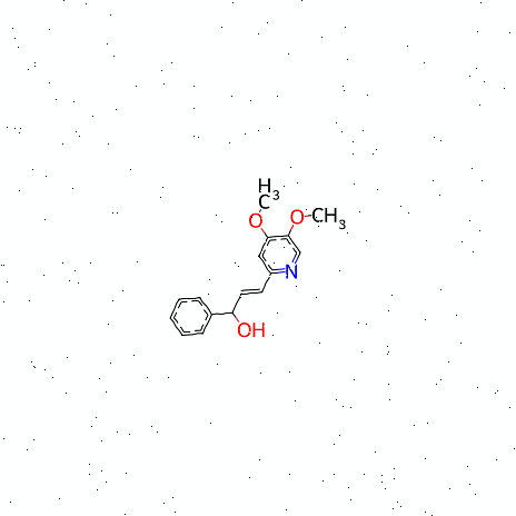 COc1cnc(C=CC(O)c2ccccc2)cc1OC